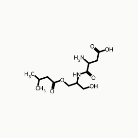 CC(C)CC(=O)OCC(CO)NC(=O)C(N)CC(=O)O